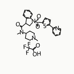 CN1CCC(N(C)C(=O)C2CN(S(=O)(=O)c3ccc(-c4ccccn4)s3)c3ccccc32)CC1.O=C(O)C(F)(F)F